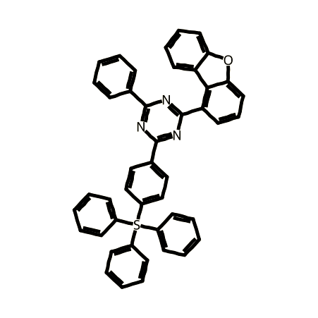 c1ccc(-c2nc(-c3ccc(S(c4ccccc4)(c4ccccc4)c4ccccc4)cc3)nc(-c3cccc4oc5ccccc5c34)n2)cc1